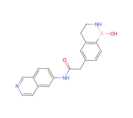 O=C(Cc1ccc2c(c1)CCNB2O)Nc1ccc2cnccc2c1